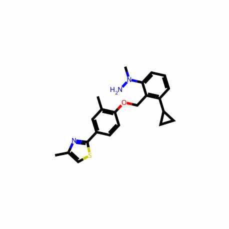 Cc1csc(-c2ccc(OCc3c(C4CC4)cccc3N(C)N)c(C)c2)n1